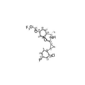 C[C@H](NC(=O)C1CC1c1ccc(F)cc1Cl)c1ccc(OCC(F)(F)F)cn1